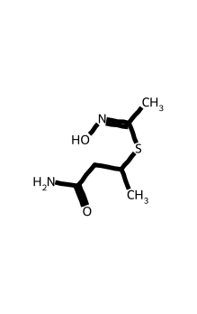 CC(=NO)SC(C)CC(N)=O